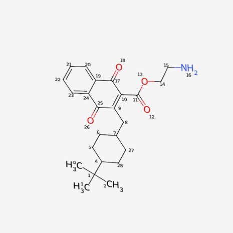 CC(C)(C)C1CCC(CC2=C(C(=O)OCCN)C(=O)c3ccccc3C2=O)CC1